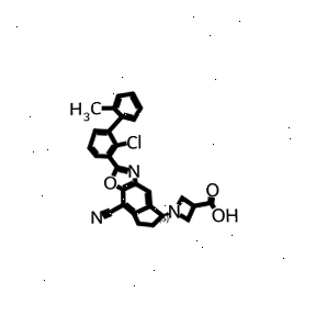 Cc1ccccc1-c1cccc(-c2nc3cc4c(c(C#N)c3o2)CC[C@@H]4N2CC(C(=O)O)C2)c1Cl